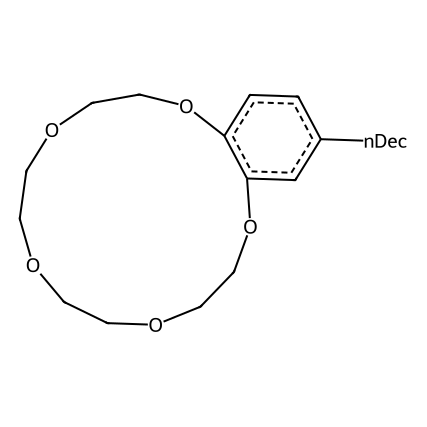 CCCCCCCCCCc1ccc2c(c1)OCCOCCOCCOCCO2